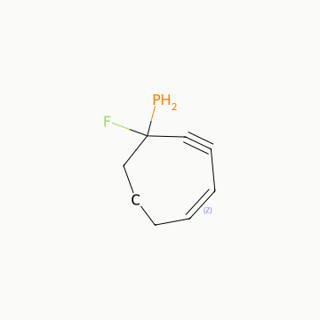 FC1(P)C#C/C=C\CCC1